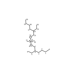 CCCCC(CC)C[O][Sn]([CH3])([CH3])[O]CC(CC)CCCC